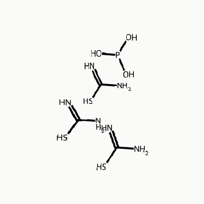 N=C(N)S.N=C(N)S.N=C(N)S.OP(O)O